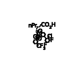 CCCC(CCC(=O)O)C[C@H]1CN(S(=O)(=O)c2cccc(C(F)(F)F)c2)c2cc(-c3cc(F)cc(F)c3Cl)ccc2O1